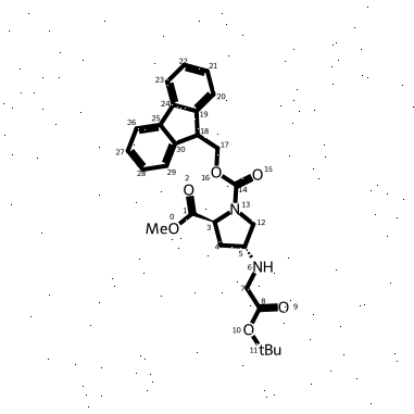 COC(=O)[C@@H]1C[C@@H](NCC(=O)OC(C)(C)C)CN1C(=O)OCC1c2ccccc2-c2ccccc21